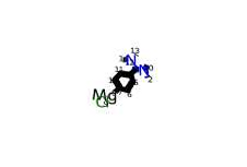 CN(C)C(c1cc[c]([Mg][Cl])cc1)N(C)C